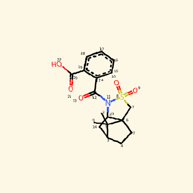 CC1(C)C2CCC13CS(=O)(=O)N(C(=O)c1ccccc1C(=O)O)C3C2